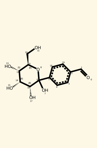 O=Cc1ccc(C2(O)O[C@H](CO)[C@@H](O)[C@@H](O)[C@H]2O)cc1